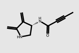 C=C1NC[C@@H](NC(=O)C#CC)C1=C